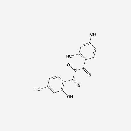 [O-][S+](C(=S)c1ccc(O)cc1O)C(=S)c1ccc(O)cc1O